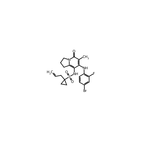 C=CCC1(S(=O)(=O)Nc2c(Nc3ccc(Br)cc3F)c(C)c(=O)n3c2CCC3)CC1